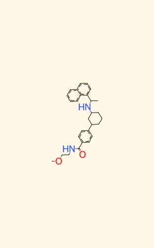 COCCNC(=O)c1ccc(C2CCCC(NC(C)c3cccc4ccccc34)C2)cc1